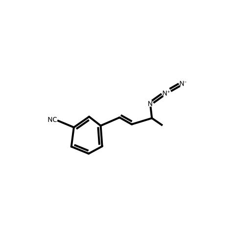 CC(/C=C/c1cccc(C#N)c1)N=[N+]=[N-]